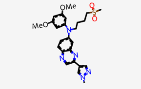 COc1cc(OC)cc(N(CCCCS(C)(=O)=O)c2ccc3ncc(-c4cnn(C)c4)nc3c2)c1